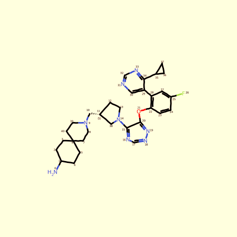 NC1CCC2(CC1)CCN(C[C@@H]1CCN(c3ncnnc3Oc3ccc(F)cc3-c3cncnc3C3CC3)C1)CC2